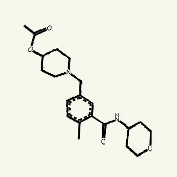 CC(=O)OC1CCN(Cc2ccc(C)c(C(=O)NC3CCOCC3)c2)CC1